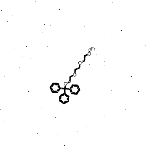 CCCOCCOCCOCCOC(c1ccccc1)(c1ccccc1)c1ccccc1